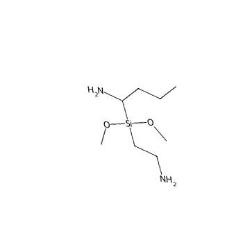 CCCC(N)[Si](CCN)(OC)OC